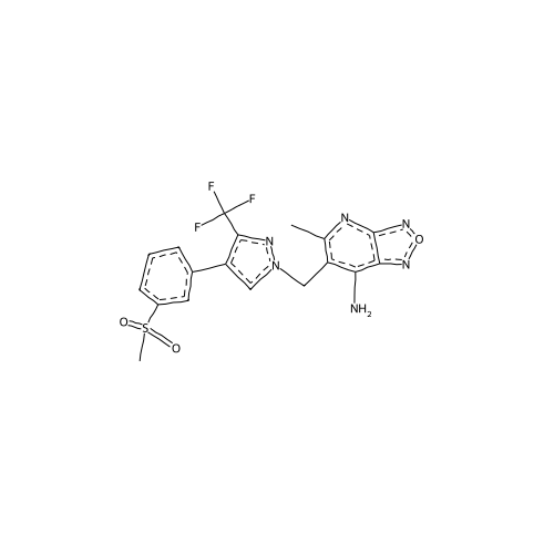 Cc1nc2nonc2c(N)c1Cn1cc(-c2cccc(S(C)(=O)=O)c2)c(C(F)(F)F)n1